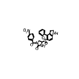 O=C1NC(S(=O)(=O)c2ccc3c(c2-c2ccccc2)CCN3)CN1C(=O)c1ccc([N+](=O)[O-])cc1